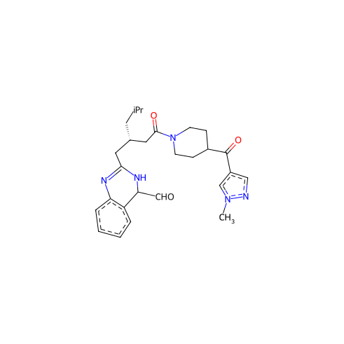 CC(C)C[C@H](CC(=O)N1CCC(C(=O)c2cnn(C)c2)CC1)CC1=Nc2ccccc2C(C=O)N1